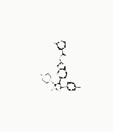 Cn1nc(-c2ccc(F)cc2)c(-c2ccc3nc(NC(=O)c4ccnc(F)c4)cn3n2)c1N1CCN(C(=O)O)CC1